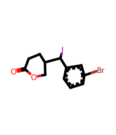 O=C1CCC(C(I)c2cccc(Br)c2)CO1